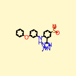 Cn1nnc(-c2cc([SH](=O)=O)ccc2Nc2cccc(Oc3ccccc3)c2)n1